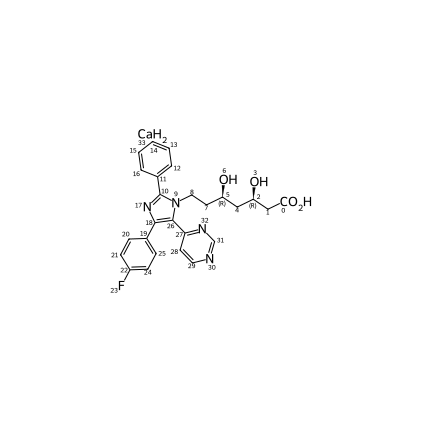 O=C(O)C[C@H](O)C[C@H](O)CCn1c(-c2ccccc2)nc(-c2ccc(F)cc2)c1-c1ccncn1.[CaH2]